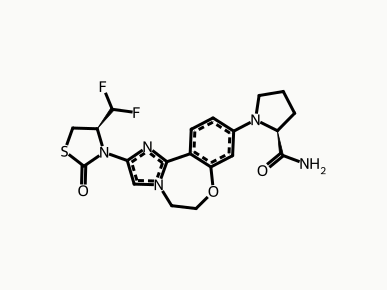 NC(=O)[C@@H]1CCCN1c1ccc2c(c1)OCCn1cc(N3C(=O)SC[C@H]3C(F)F)nc1-2